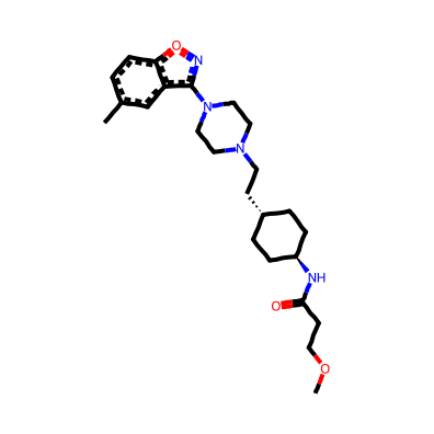 COCCC(=O)N[C@H]1CC[C@H](CCN2CCN(c3noc4ccc(C)cc34)CC2)CC1